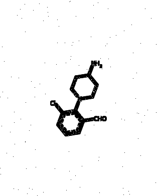 NC1CCN(c2c(Cl)cccc2C=O)CC1